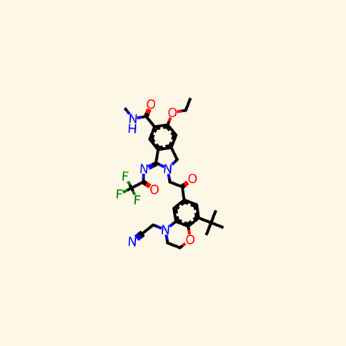 CCOc1cc2c(cc1C(=O)NC)/C(=N/C(=O)C(F)(F)F)N(CC(=O)c1cc3c(c(C(C)(C)C)c1)OCCN3CC#N)C2